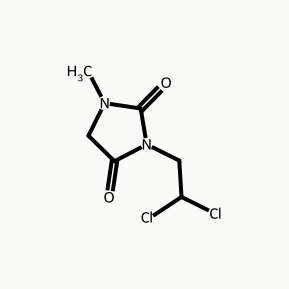 CN1CC(=O)N(CC(Cl)Cl)C1=O